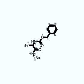 CC(C)C(NC(=O)OCc1ccccc1)C(=O)NC(C)(C)C